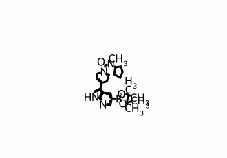 CN(C(=O)N1CC=C(c2c[nH]c3ncc(B4OC(C)(C)C(C)(C)O4)cc23)CC1)C1CCCC1